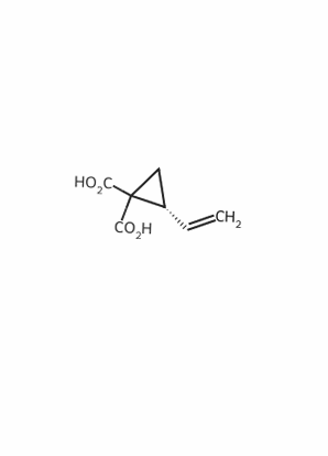 C=C[C@H]1CC1(C(=O)O)C(=O)O